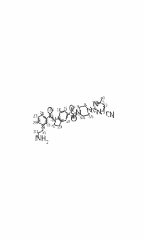 Cc1cc(C#N)nc(N2CCN(S(=O)(=O)c3ccc4c(c3)CCN4C(=O)c3cccc(CCN)c3)CC2)n1